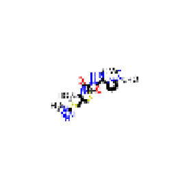 CON=C(C(=O)NC1C(=O)N2C(C(=O)O)=C(CSc3nnnn3C)CS[C@@H]12)c1cccc(NC=O)n1